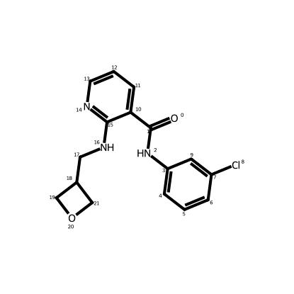 O=C(Nc1cccc(Cl)c1)c1cccnc1NCC1COC1